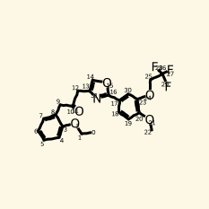 CCOc1ccccc1CC(=O)Cc1coc(-c2ccc(OC)c(OCC(F)(F)F)c2)n1